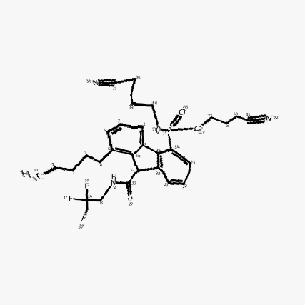 CCCCCc1cccc2c1C(C(=O)NCC(F)(F)F)c1cccc(P(=O)(OCCCC#N)OCCCC#N)c1-2